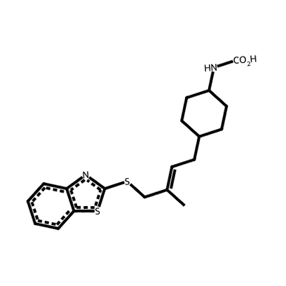 CC(=CCC1CCC(NC(=O)O)CC1)CSc1nc2ccccc2s1